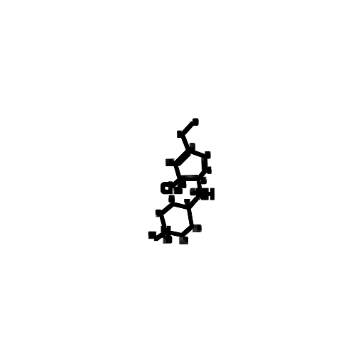 CCc1ccc(NC2CCN(C)CC2)c(Cl)c1